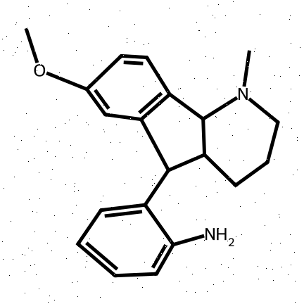 COc1ccc2c(c1)C(c1ccccc1N)C1CCCN(C)C21